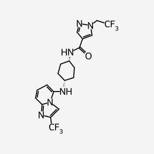 O=C(N[C@H]1CC[C@@H](Nc2cccc3nc(C(F)(F)F)cn23)CC1)c1cnn(CC(F)(F)F)c1